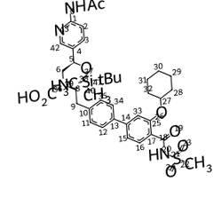 CC(=O)Nc1ccc([C@H](CN(CCc2ccc(-c3ccc(C(=O)NS(C)(=O)=O)c(OC4CCCCC4)c3)cc2)C(=O)O)O[Si](C)(C)C(C)(C)C)cn1